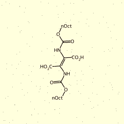 CCCCCCCCOC(=O)N/C(C(=O)O)=C(/NC(=O)OCCCCCCCC)C(=O)O